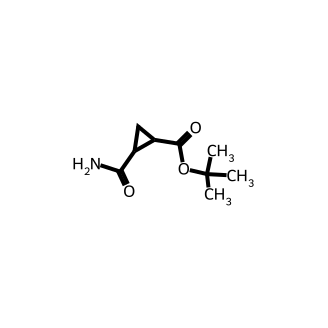 CC(C)(C)OC(=O)C1CC1C(N)=O